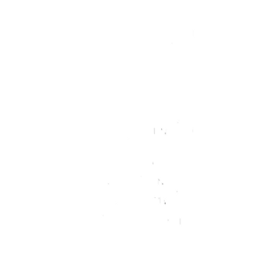 COc1ccc(C(=O)NC2CCN(C)C23CCCCC3/C(=C\C(=O)O)C(=O)O)cc1